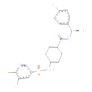 C[C@@H](NC(=O)C1CCC(NS(=O)(=O)c2cnc(Cl)c(Br)c2)CC1)c1ccc(F)cc1